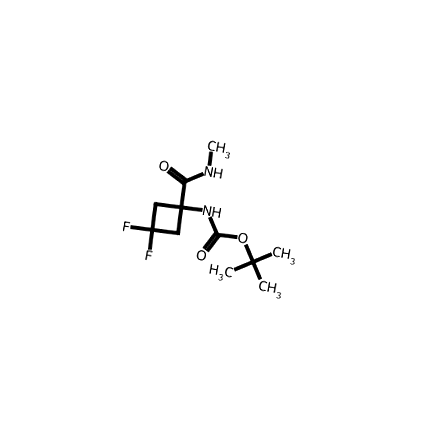 CNC(=O)C1(NC(=O)OC(C)(C)C)CC(F)(F)C1